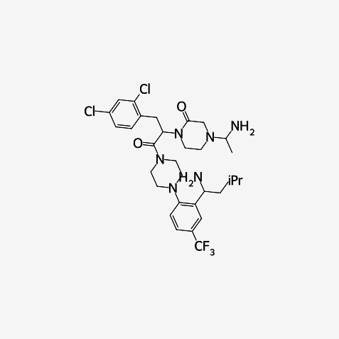 CC(C)CC(N)c1cc(C(F)(F)F)ccc1N1CCN(C(=O)C(Cc2ccc(Cl)cc2Cl)N2CCN(C(C)N)CC2=O)CC1